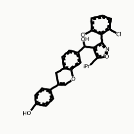 CC(C)c1onc(-c2c(Cl)cccc2Cl)c1C(O)c1ccc2c(c1)OC=C(c1ccc(O)cc1)C2